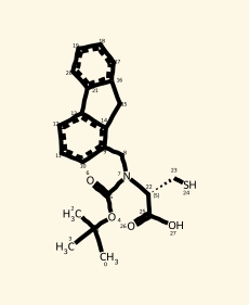 CC(C)(C)OC(=O)N(Cc1cccc2c1Cc1ccccc1-2)[C@H](CS)C(=O)O